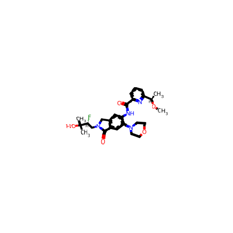 CO[C@H](C)c1cccc(C(=O)Nc2cc3c(cc2N2CCOCC2)C(=O)N(C[C@@H](F)C(C)(C)O)C3)n1